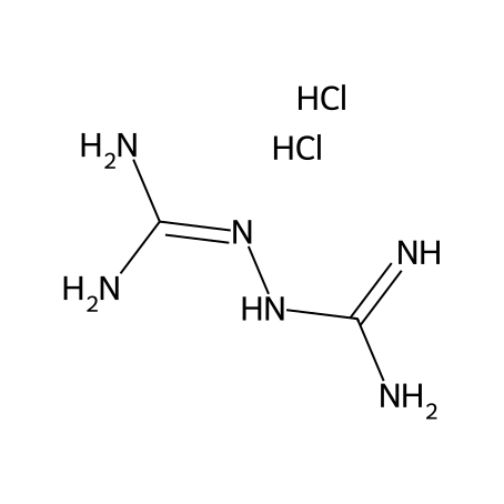 Cl.Cl.N=C(N)NN=C(N)N